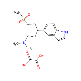 CNS(=O)(=O)CCC(CCN(C)C)c1ccc2[nH]ccc2c1.O=C(O)C(=O)O